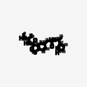 CNC(=S)NS(=O)(=O)c1cc(CC(=O)NC(C)c2ccc[nH]2)ccc1SC